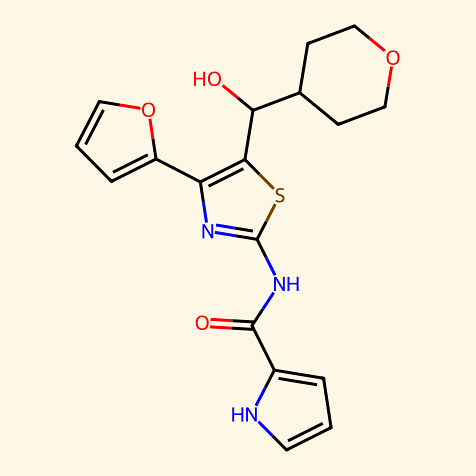 O=C(Nc1nc(-c2ccco2)c(C(O)C2CCOCC2)s1)c1ccc[nH]1